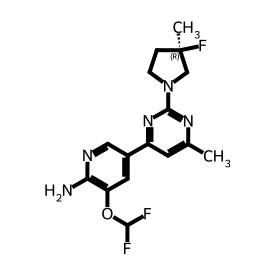 Cc1cc(-c2cnc(N)c(OC(F)F)c2)nc(N2CC[C@@](C)(F)C2)n1